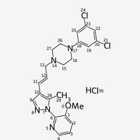 COc1cccnc1-n1ncc(C=CCN2CCN(c3cc(Cl)cc(Cl)c3)CC2)c1C.Cl